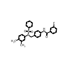 Cc1ccc(N(Cc2ccc(NC(=O)c3cccc(F)c3)cc2)S(=O)(=O)c2ccccc2)cc1C